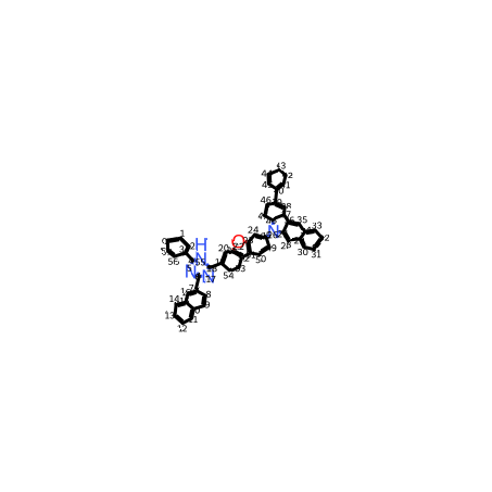 C1=CCC(C2N=C(c3ccc4ccccc4c3)N=C(C3=Cc4oc5cc(N6c7cc8ccccc8cc7C7C=C(C8=CCCC=C8)C=CC76)ccc5c4CC3)N2)C=C1